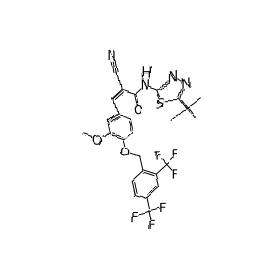 COc1cc(/C=C(/C#N)C(=O)Nc2nnc(C(C)(C)C)s2)ccc1OCc1ccc(C(F)(F)F)cc1C(F)(F)F